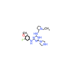 CCN1CCCC1CNC1N=C(Nc2ccc(OC)c(F)c2)N=C(N2CCNCC2)N1